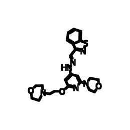 C(=N\Nc1cc(OCCN2CCOCC2)nc(N2CCOCC2)c1)/c1nsc2ccccc12